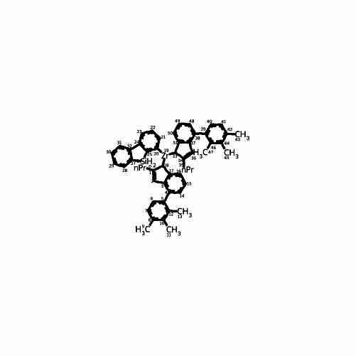 CCCC1=Cc2c(-c3ccc(C)c(C)c3C)cccc2[CH]1[Zr]([c]1cccc2c1[SiH2]c1ccccc1-2)[CH]1C(CCC)=Cc2c(-c3ccc(C)c(C)c3C)cccc21